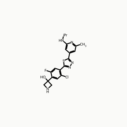 Cc1cc(-c2nnc(-c3cc(F)c(C4(O)CNC4)cc3Cl)s2)cc(NC(C)C)n1